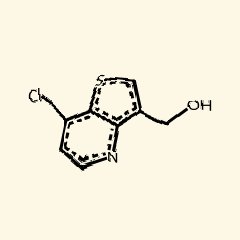 OCc1csc2c(Cl)ccnc12